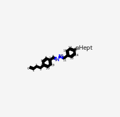 C=CCCc1ccc(C=NN=Cc2ccc(CCCCCCC)cc2)cc1